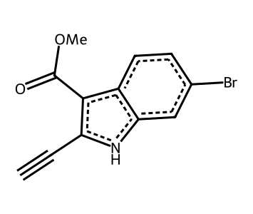 C#Cc1[nH]c2cc(Br)ccc2c1C(=O)OC